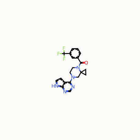 O=C(c1cccc(C(F)(F)F)c1)N1CCN(c2ncnc3[nH]ccc23)CC12CC2